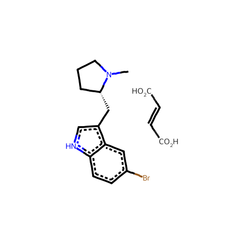 CN1CCC[C@H]1Cc1c[nH]c2ccc(Br)cc12.O=C(O)/C=C/C(=O)O